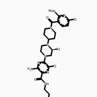 CC[C@H]1CN(c2nc(N)c(C(=O)NCCO)nc2Cl)CCN1C1CCN(C(=O)c2ccc(Cl)nc2NC)CC1